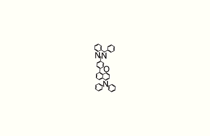 c1ccc(-c2nc(-c3ccc4c(c3)Oc3ccc(N(c5ccccc5)c5ccccc5)c5cccc-4c35)nc3ccccc23)cc1